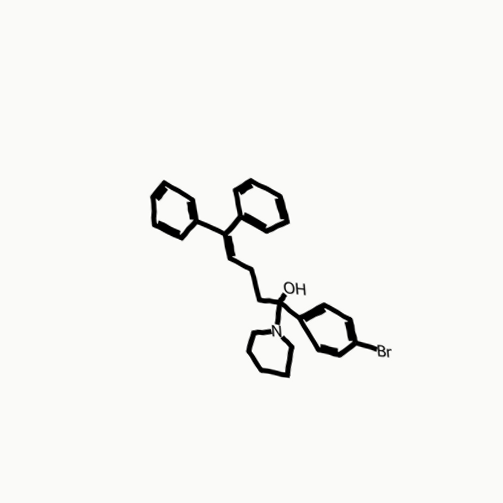 OC(CCC=C(c1ccccc1)c1ccccc1)(c1ccc(Br)cc1)N1CCCCC1